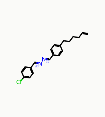 C=CCCCCc1ccc(/C=N/N=C/c2ccc(Cl)cc2)cc1